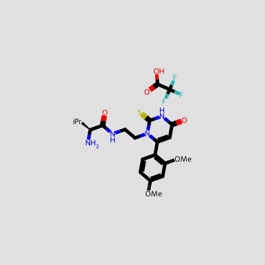 COc1ccc(-c2cc(=O)[nH]c(=S)n2CCNC(=O)[C@@H](N)C(C)C)c(OC)c1.O=C(O)C(F)(F)F